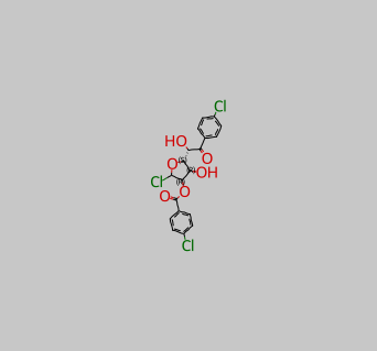 O=C(O[C@H]1C(Cl)O[C@H](C(O)C(=O)c2ccc(Cl)cc2)[C@H]1O)c1ccc(Cl)cc1